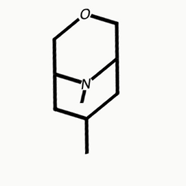 CC1CC2COCC(C1)N2C